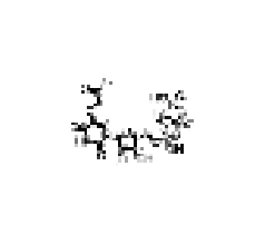 CCC(=O)COc1cn([C@@H]2O[C@H](COP(=O)(O)OP(=O)(O)OP(=O)(O)O)C(O)[C@@H]2O)c(=O)[nH]c1=O